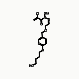 C=C(Cl)C(=O)N(/N=C\COCc1ccc(OCCCCO)nc1)C(C)(C)C